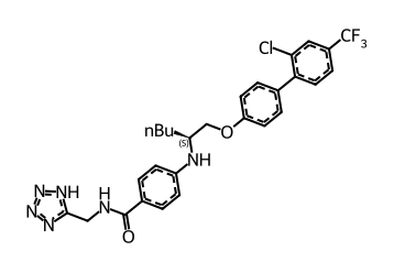 CCCC[C@@H](COc1ccc(-c2ccc(C(F)(F)F)cc2Cl)cc1)Nc1ccc(C(=O)NCc2nnn[nH]2)cc1